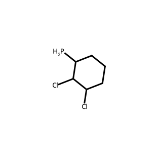 PC1CCCC(Cl)C1Cl